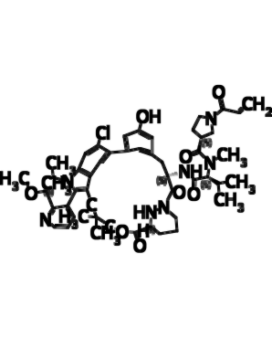 C=CC(=O)N1CC[C@H](C(=O)N(C)[C@H](C(=O)N[C@H]2Cc3cc(O)cc(c3)-c3cc4c(c(-c5cccnc5[C@H](C)OC)n(CC)c4cc3Cl)CC(C)(C)COC(=O)[C@@H]3CCCN(N3)C2=O)C(C)C)C1